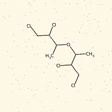 CC(OC(C)C(Cl)CCl)C(Cl)CCl